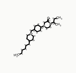 CCCCCCC1CCN(CC2CCC(N3CCN(C(C)CC)C(=O)C3)CC2)CC1